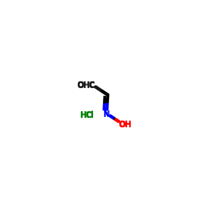 Cl.O=CC=NO